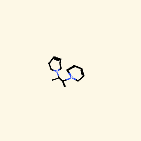 CC(C(C)N1CC=CCC1)N1CC=CCC1